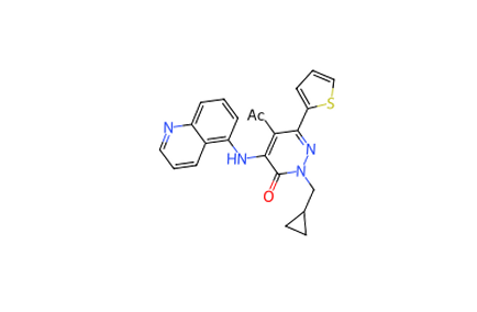 CC(=O)c1c(-c2cccs2)nn(CC2CC2)c(=O)c1Nc1cccc2ncccc12